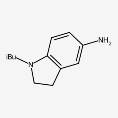 CCC(C)N1CCc2cc(N)ccc21